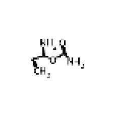 C=CC(N)OC(N)=O